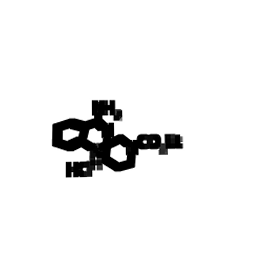 CCOC(=O)N1CCCC2(C1)N=C(N)c1ccccc1N2.Cl